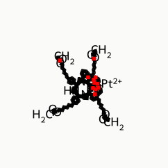 C=CC(=O)OCCCCCCc1ccc(-c2c3nc(c(-c4ccc(CCCCCCOC(=O)C=C)cc4)c4c(-c5ccccc5)c(-c5ccccc5)c(c(-c5ccc(CCCCCCOC(=O)C=C)cc5)c5nc(c(-c6ccc(CCCCCCOC(=O)C=C)cc6)c6ccc2[nH]6)C=C5c2ccccc2)n4-c2ccccc2)C=C3)cc1.[Pt+2]